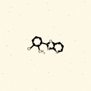 Cc1c(Cl)cccc1-c1nc2ncccc2o1